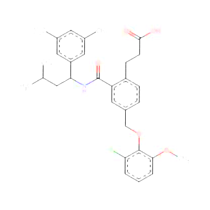 COc1cccc(F)c1OCc1ccc(CCC(=O)O)c(C(=O)NC(CC(C)C)c2cc(C)cc(C)c2)c1